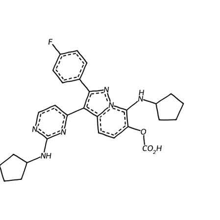 O=C(O)Oc1ccc2c(-c3ccnc(NC4CCCC4)n3)c(-c3ccc(F)cc3)nn2c1NC1CCCC1